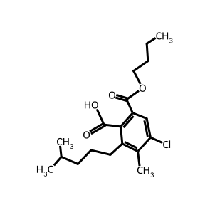 CCCCOC(=O)c1cc(Cl)c(C)c(CCCC(C)C)c1C(=O)O